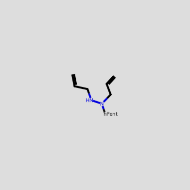 C=CCNN(CC=C)CCCCC